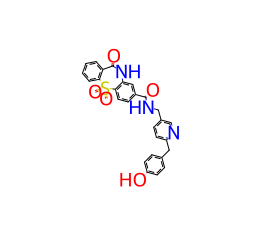 O=C(NCc1ccc(Cc2ccc(O)cc2)nc1)c1ccc2c(c1)NC(=O)c1ccccc1S2(=O)=O